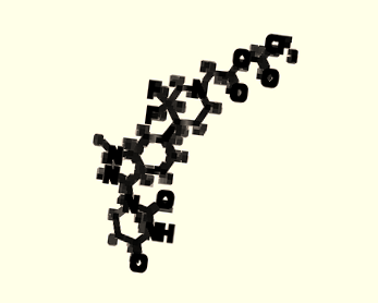 Cn1nc(N2CCC(=O)NC2=O)c2ccc([C@@H]3CCN(CC(=O)OC(=O)C(F)(F)F)CC3(F)F)cc21